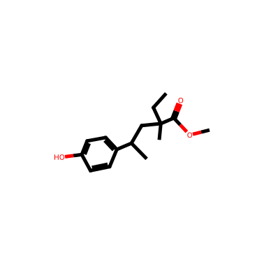 CCC(C)(CC(C)c1ccc(O)cc1)C(=O)OC